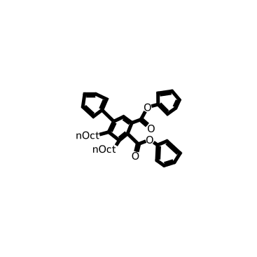 CCCCCCCCc1c(-c2ccccc2)cc(C(=O)Oc2ccccc2)c(C(=O)Oc2ccccc2)c1CCCCCCCC